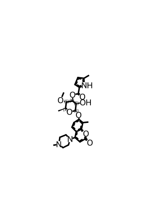 CO[C@@H]1[C@@H](OC(=O)c2ccc(C)[nH]2)[C@@H](O)[C@H](Oc2ccc3c(N4CCN(C)CC4)cc(=O)oc3c2C)O[C@H]1C